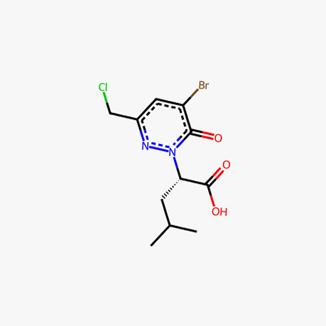 CC(C)C[C@@H](C(=O)O)n1nc(CCl)cc(Br)c1=O